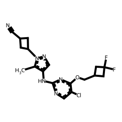 Cc1c(Nc2ncc(Cl)c(OCC3CC(F)(F)C3)n2)cnn1C1CC(C#N)C1